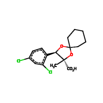 C[C@]1(C(=O)O)OC2(CCCCC2)O[C@@H]1c1ccc(Cl)cc1Cl